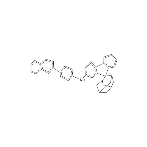 c1ccc2c(c1)-c1ccc(Nc3ccc(-c4ccc5ccccc5c4)cc3)cc1C21C2CC3CC(C2)CC1C3